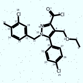 CCOCc1c(C(=O)Cl)nn(Cc2ccc(C)c(Cl)c2)c1-c1ccc(Cl)cc1